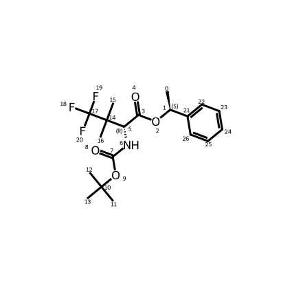 C[C@H](OC(=O)[C@H](NC(=O)OC(C)(C)C)C(C)(C)C(F)(F)F)c1ccccc1